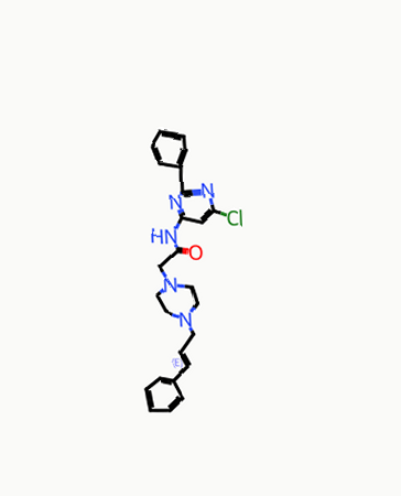 O=C(CN1CCN(C/C=C/c2ccccc2)CC1)Nc1cc(Cl)nc(-c2ccccc2)n1